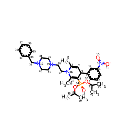 CC1=CC(c2cccc([N+](=O)[O-])c2)C(P(=O)(OC(C)C)OC(C)C)=C(C)N1CCN1CCN(Cc2ccccc2)CC1